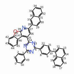 c1ccc(-c2nc(-c3ccc(-c4cccc5ccccc45)cc3)nc(-c3cc(-c4ccc5ccccc5c4)nc4oc5ccccc5c34)n2)cc1